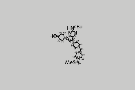 CCCCNc1ncc2c(-c3ccc(CN4CCN(C(C)SC)CC4)cc3)nn([C@H]3CC[C@H](O)CC3)c2n1